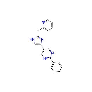 c1ccc(-c2ncc(-c3c[nH]c(Cc4ccccn4)n3)cn2)cc1